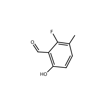 Cc1ccc(O)c(C=O)c1F